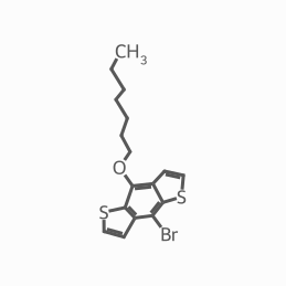 CCCCCCCOc1c2ccsc2c(Br)c2ccsc12